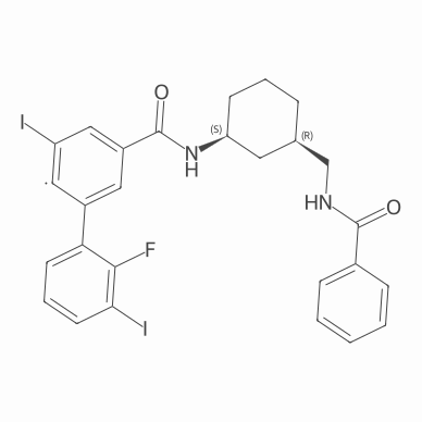 O=C(NC[C@@H]1CCC[C@H](NC(=O)c2cc(I)[c]c(-c3cccc(I)c3F)c2)C1)c1ccccc1